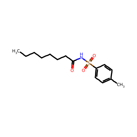 CCCCCCCC(=O)NS(=O)(=O)c1ccc(C)cc1